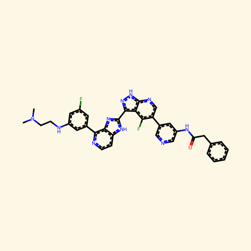 CN(C)CCNc1cc(F)cc(-c2nccc3[nH]c(-c4n[nH]c5ncc(-c6cncc(NC(=O)Cc7ccccc7)c6)c(F)c45)nc23)c1